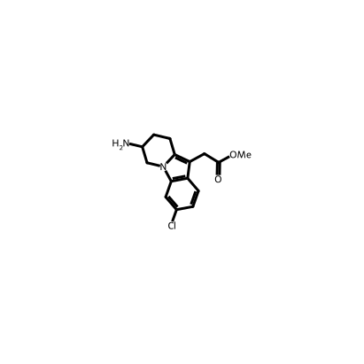 COC(=O)Cc1c2n(c3cc(Cl)ccc13)CC(N)CC2